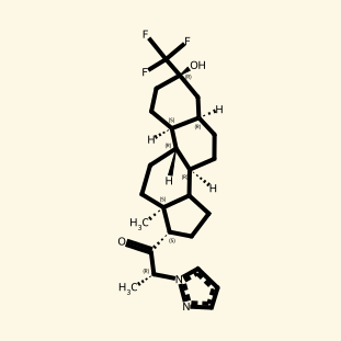 C[C@H](C(=O)[C@H]1CCC2[C@@H]3CC[C@@H]4C[C@@](O)(C(F)(F)F)CC[C@@H]4[C@H]3CC[C@@]21C)n1cccn1